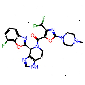 CN1CCN(c2nc(C(F)F)c(C(=O)N3CCc4[nH]cnc4[C@H]3c3nc4cccc(F)c4o3)o2)CC1